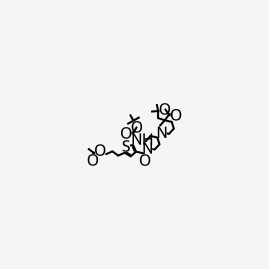 CC(=O)OCCCc1cc(C(=O)N2CCC(N3CCCC4(C3)CC(C)(C)OC4=O)CC2)c(NC(=O)OC(C)(C)C)s1